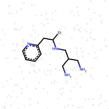 CCC(Cc1ccccn1)NCC(CN)CN